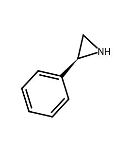 c1ccc([C@H]2CN2)cc1